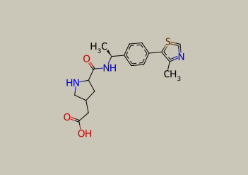 Cc1ncsc1-c1ccc([C@H](C)NC(=O)C2CC(CC(=O)O)CN2)cc1